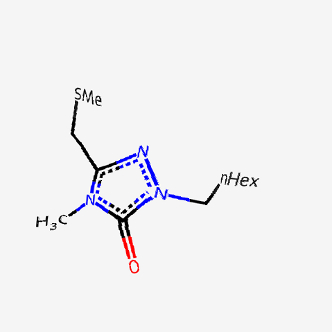 CCCCCCCn1nc(CSC)n(C)c1=O